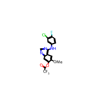 COc1cc2c(Nc3ccc(F)c(Cl)c3)ncnc2cc1OC(=O)C(F)(F)F